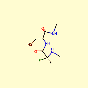 CNC(=O)[C@@H](CS)NC(=O)[C@](C)(F)NC